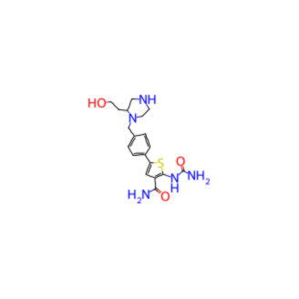 NC(=O)Nc1sc(-c2ccc(CN3CCNCC3CCO)cc2)cc1C(N)=O